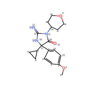 COc1ccc(C2(C3CC3)NC(=N)N(C3CCOCC3)C2=O)cc1